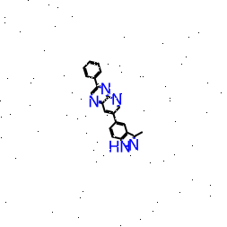 Cc1n[nH]c2ccc(-c3cnc4nc(-c5ccccc5)cnc4c3)cc12